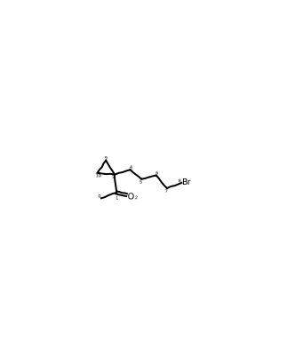 CC(=O)C1(CCCCBr)CC1